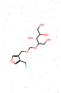 OCC(O)[C@@H](O)C(CO)OCOCc1cocc1CF